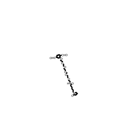 O=Cc1ccc(C=O)c(OCCOCCOCCOCOCCOCCNC(=O)CCCCCN2CC=CC2=O)c1